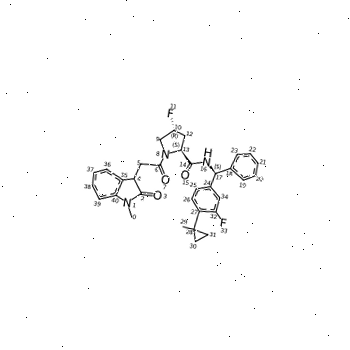 CN1C(=O)C(CC(=O)N2C[C@H](F)C[C@H]2C(=O)N[C@@H](c2ccccc2)c2ccc(C3(C)CC3)c(F)c2)c2ccccc21